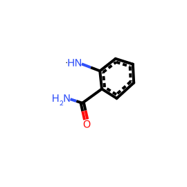 [NH]c1ccccc1C(N)=O